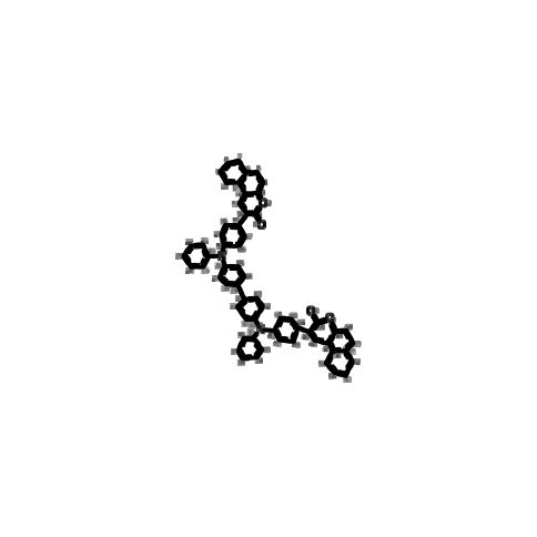 O=c1oc2ccc3ccccc3c2cc1-c1ccc(N(c2ccccc2)c2ccc(-c3ccc(N(c4ccccc4)c4ccc(-c5cc6c(ccc7ccccc76)oc5=O)cc4)cc3)cc2)cc1